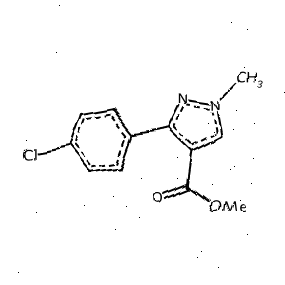 COC(=O)c1cn(C)nc1-c1ccc(Cl)cc1